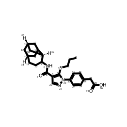 CCCSc1c(C(=O)NC2CC[C@H]3CC4C[C@@H](C3)C[C@@H]42)cnn1-c1ccc(CC(=O)O)cc1